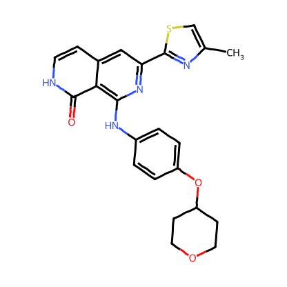 Cc1csc(-c2cc3cc[nH]c(=O)c3c(Nc3ccc(OC4CCOCC4)cc3)n2)n1